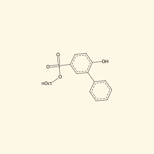 CCCCCCCCOS(=O)(=O)c1ccc(O)c(-c2ccccc2)c1